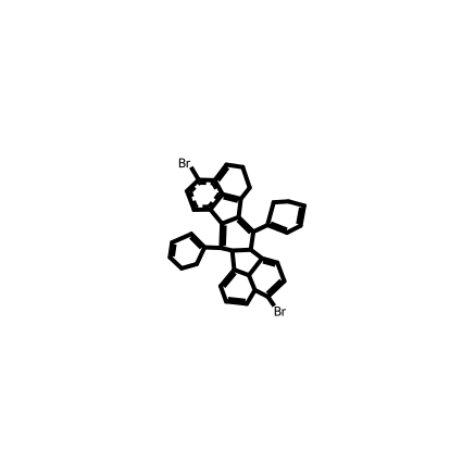 BrC1=CC=C2C3C(=CC=CC13)C1C(C3=CC=CCC3)=C3C(=C(C4=CC=CCC4)C21)C1=c2c3ccc(Br)c2=CCC1